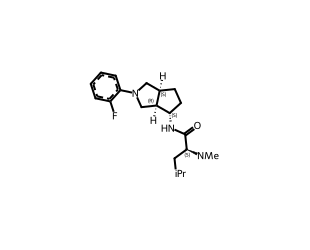 CN[C@@H](CC(C)C)C(=O)N[C@H]1CC[C@@H]2CN(c3ccccc3F)C[C@@H]21